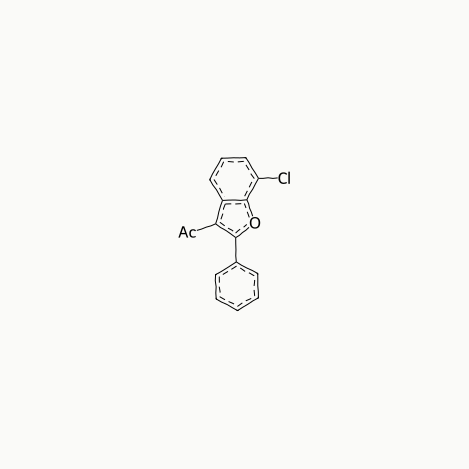 CC(=O)c1c(-c2ccccc2)oc2c(Cl)cccc12